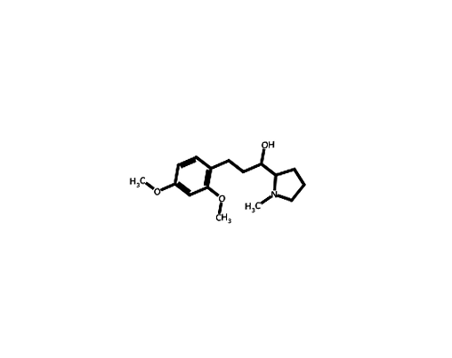 COc1ccc(CCC(O)C2CCCN2C)c(OC)c1